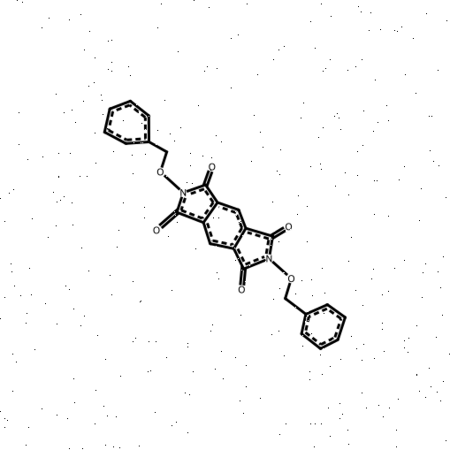 O=c1c2cc3c(=O)n(OCc4ccccc4)c(=O)c3cc2c(=O)n1OCc1ccccc1